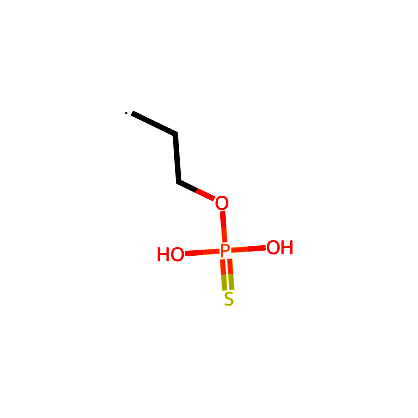 [CH2]CCOP(O)(O)=S